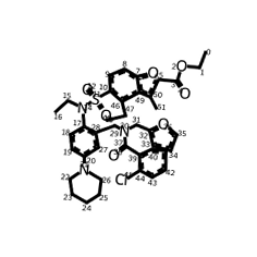 CCOC(=O)c1oc2ccc(S(=O)(=O)N(CC)c3ccc(N4CCCCC4)cc3CN(Cc3ccco3)C(=O)c3ccccc3Cl)c(CC)c2c1C